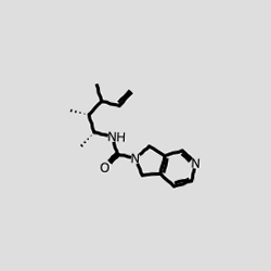 C=CC(C)[C@@H](C)[C@@H](C)NC(=O)N1Cc2ccncc2C1